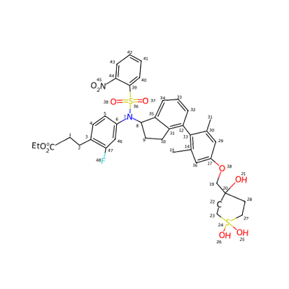 CCOC(=O)CCc1ccc(N(C2CCc3c(-c4c(C)cc(OCC5(O)CCS(O)(O)CC5)cc4C)cccc32)S(=O)(=O)c2ccccc2[N+](=O)[O-])cc1F